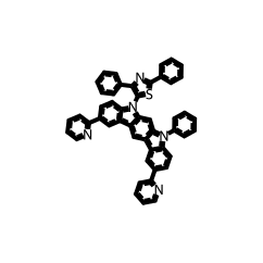 c1ccc(-c2nc(-c3ccccc3)c(-n3c4ccc(-c5ccccn5)cc4c4cc5c6cc(-c7ccccn7)ccc6n(-c6ccccc6)c5cc43)s2)cc1